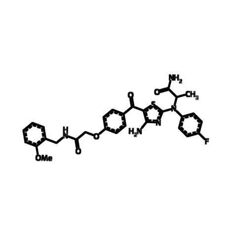 COc1ccccc1CNC(=O)COc1ccc(C(=O)c2sc(N(c3ccc(F)cc3)C(C)C(N)=O)nc2N)cc1